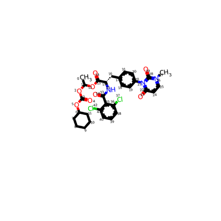 CC(OC(=O)OC1CCCCC1)OC(=O)[C@H](Cc1ccc(-n2c(=O)ccn(C)c2=O)cc1)NC(=O)c1c(Cl)cccc1Cl